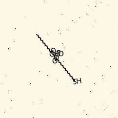 CCCCCCCCCCCCCC(=O)O[C@@H](COP=O)COC(=O)CCCCCCCCCCCCCCCS